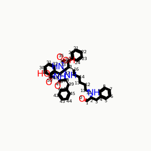 O=CC(Cc1ccccc1)NCCCCCC[C@@H](Cc1ccccc1)C(Cc1ccccc1)(NC(=O)O)N[C@@H](Cc1ccccc1)C(=O)NC(=O)O